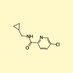 O=C(NCC1CC1)c1ccc(Cl)cn1